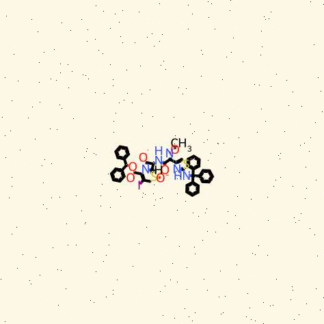 CON=C(C(=O)NC1C(=O)N2C(C(=O)OC(c3ccccc3)c3ccccc3)=C(I)C[S+]([O-])[C@@H]12)c1csc(NC(c2ccccc2)(c2ccccc2)c2ccccc2)n1